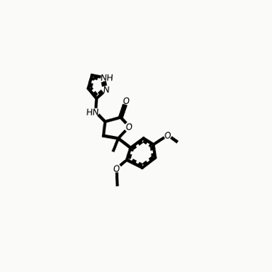 COc1ccc(OC)c(C2(C)CC(Nc3cc[nH]n3)C(=O)O2)c1